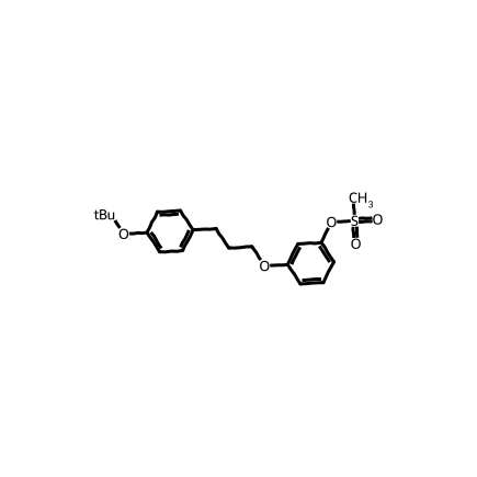 CC(C)(C)Oc1ccc(CCCOc2cccc(OS(C)(=O)=O)c2)cc1